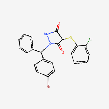 O=C1NN(C(c2ccccc2)c2ccc(Br)cc2)C(=O)C1Sc1ccccc1Cl